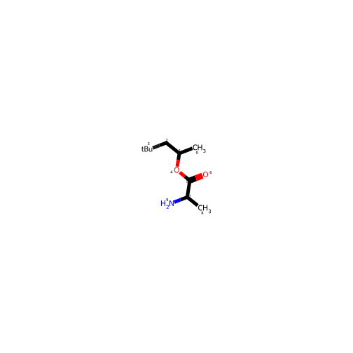 CC(CC(C)(C)C)OC(=O)C(C)N